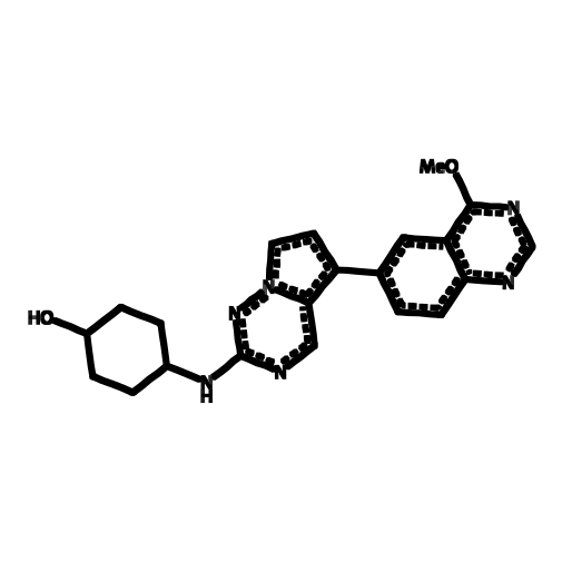 COc1ncnc2ccc(-c3ccn4nc(NC5CCC(O)CC5)ncc34)cc12